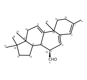 CC1=CC2=C[C@@H](C=O)C3C(=CCC4(C)C3CCC4(C)C)C2(C)CC1